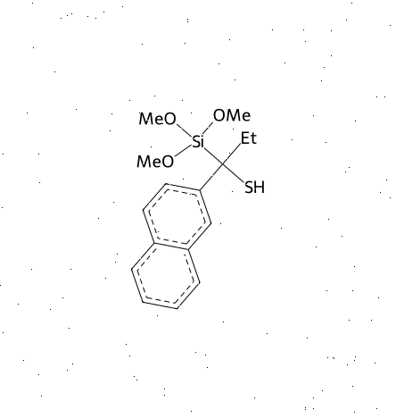 CCC(S)(c1ccc2ccccc2c1)[Si](OC)(OC)OC